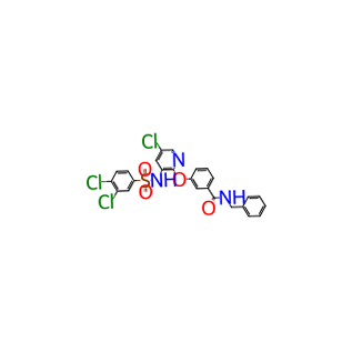 O=C(NCc1ccccc1)c1cccc(Oc2ncc(Cl)cc2NS(=O)(=O)c2ccc(Cl)c(Cl)c2)c1